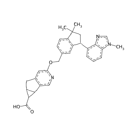 Cn1cnc2c(C3CC(C)(C)c4ccc(COc5cc6c(cn5)C5C(C6)C5C(=O)O)cc43)cccc21